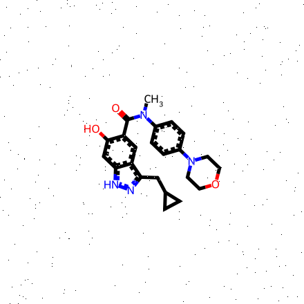 CN(C(=O)c1cc2c(CC3CC3)n[nH]c2cc1O)c1ccc(N2CCOCC2)cc1